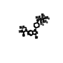 CCN(C(=O)O)c1cc2c(cn1)c(Br)nn2[C@H]1CC[C@H](O[Si](C)(C)C(C)(C)C)CC1